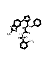 Cc1nc2cc(-n3ccnc3[C@H](Cc3ccccc3)NC(=O)NS(=O)(=O)c3ccccc3C)ccc2s1